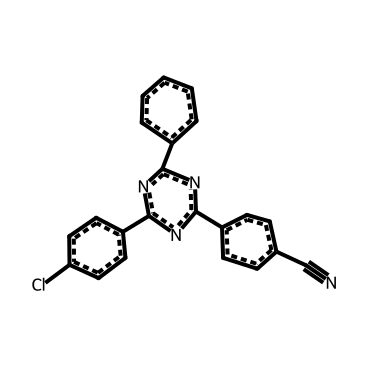 N#Cc1ccc(-c2nc(-c3ccccc3)nc(-c3ccc(Cl)cc3)n2)cc1